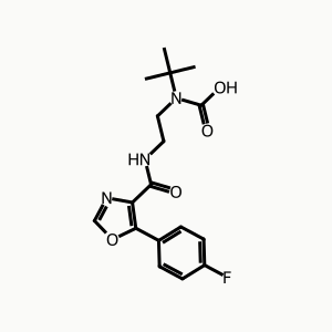 CC(C)(C)N(CCNC(=O)c1ncoc1-c1ccc(F)cc1)C(=O)O